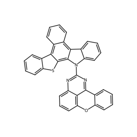 c1ccc2c(c1)Oc1cccc3nc(-n4c5ccccc5c5c6ccccc6c6c7ccccc7sc6c54)nc-2c13